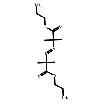 CC(C)(/N=N/C(C)(C)C(=O)OCCN)C(=O)OCCN